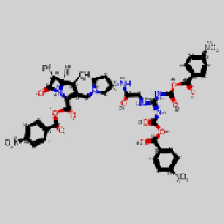 CC(C)[C@H]1C(=O)N2C(C(=O)OC(=O)c3ccc([N+](=O)[O-])cc3)=C(CN3CC[C@H](NC(=O)CN/C(=N\C(=O)OC(=O)c4ccc([N+](=O)[O-])cc4)NC(=O)OC(=O)c4ccc([N+](=O)[O-])cc4)C3)[C@H](C)[C@H]12